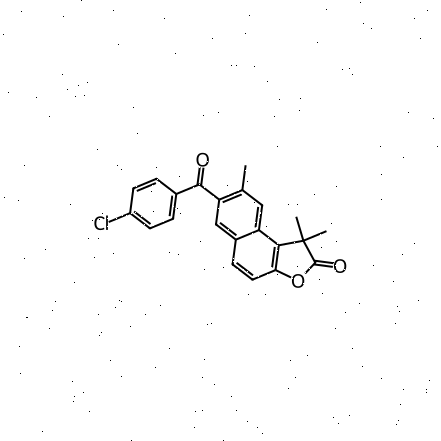 Cc1cc2c3c(ccc2cc1C(=O)c1ccc(Cl)cc1)OC(=O)C3(C)C